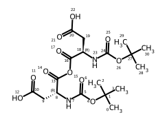 CC(C)(C)OC(=O)N[C@H](CC(=O)O)C(=O)OC(=O)[C@@H](CC(=O)O)NC(=O)OC(C)(C)C